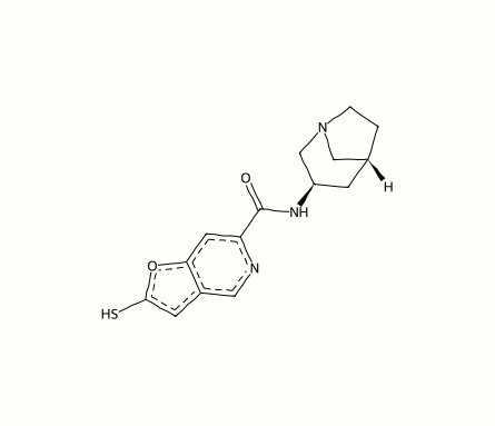 O=C(N[C@@H]1C[C@H]2CCN(C2)C1)c1cc2oc(S)cc2cn1